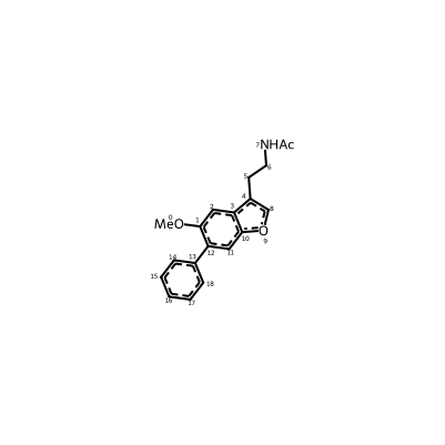 COc1cc2c(CCNC(C)=O)coc2cc1-c1ccccc1